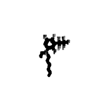 CCCCCCN(CC)c1cc(F)c(F)c(C(F)(F)C(F)(F)F)c1F